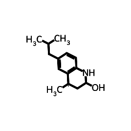 C[C]1CC(O)Nc2ccc(CC(C)C)cc21